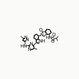 Cc1cnc(Nc2cc(C)n(C)n2)nc1-c1c[nH]c2c(N3Cc4c(NS(=O)(=O)C(C)C)cccc4C3=O)cccc12